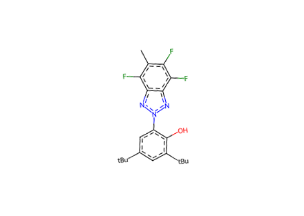 Cc1c(F)c(F)c2nn(-c3cc(C(C)(C)C)cc(C(C)(C)C)c3O)nc2c1F